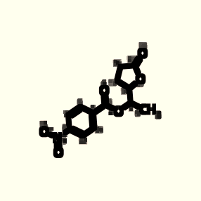 CC(OC(=O)c1ccc([N+](=O)[O-])cc1)C1CCC(=O)O1